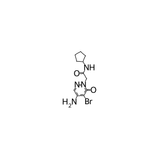 Nc1cnn(CC(=O)NC2CCCC2)c(=O)c1Br